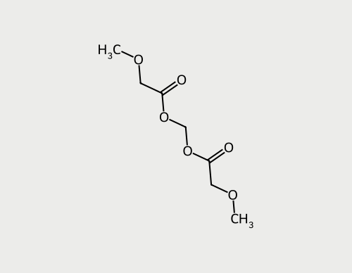 COCC(=O)OCOC(=O)COC